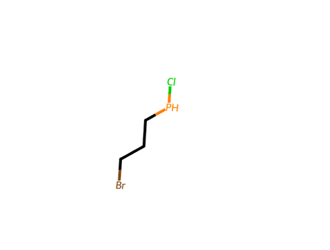 ClPCCCBr